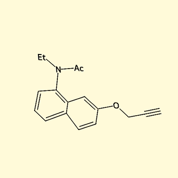 C#CCOc1ccc2cccc(N(CC)C(C)=O)c2c1